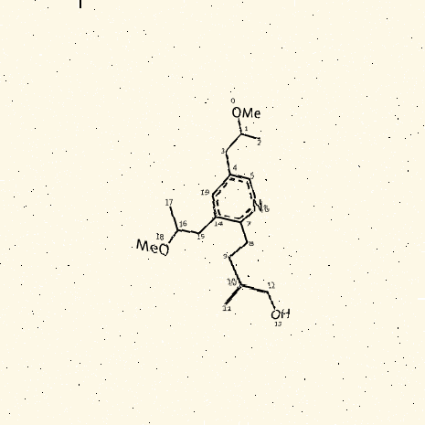 COC(C)Cc1cnc(CCC(C)CO)c(CC(C)OC)c1